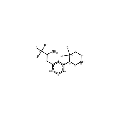 CC(F)(F)C(N)Cc1cc(C2CNCCC2(F)F)ccn1